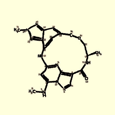 CNc1cc2nc3c(cnn13)C(=O)N[C@H](C)COCc1cc(c3nn(C)nc3c1)N2